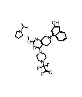 CC(C)N1CCC[C@H]1COc1nc2c(c(N3CCN(C(F)(F)C(=O)F)CC3)n1)CCN(c1cc(O)cc3ccccc13)C2